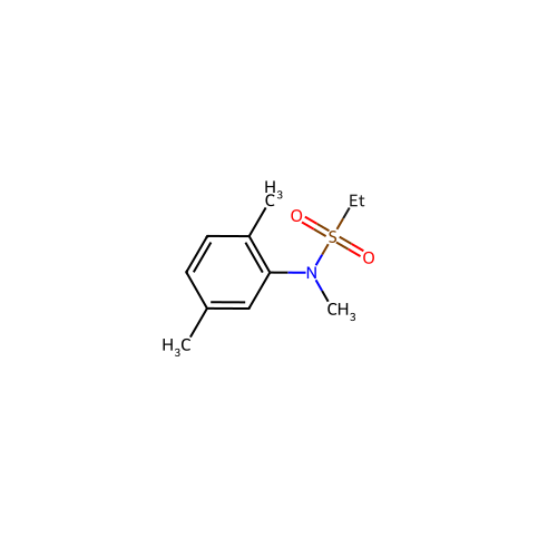 CCS(=O)(=O)N(C)c1cc(C)ccc1C